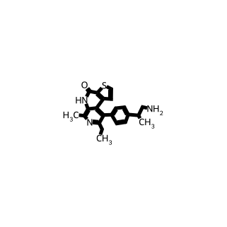 CCc1nc(C)c2[nH]c(=O)c3sccc3c2c1-c1ccc(C(C)CN)cc1